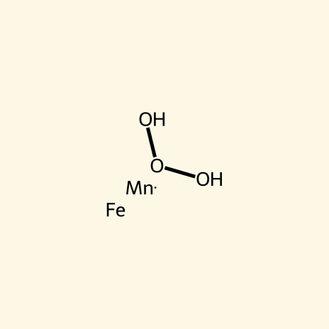 OOO.[Fe].[Mn]